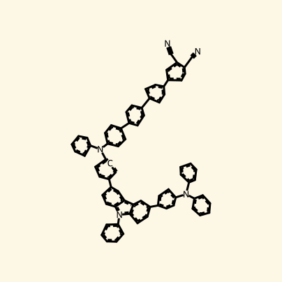 N#Cc1ccc(-c2ccc(-c3ccc(-c4ccc(N(c5ccccc5)c5ccc(-c6ccc7c(c6)c6cc(-c8ccc(N(c9ccccc9)c9ccccc9)cc8)ccc6n7-c6ccccc6)cc5)cc4)cc3)cc2)cc1C#N